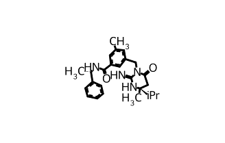 Cc1cc(CN2C(=N)N[C@](C)(C(C)C)CC2=O)cc(C(=O)N[C@@H](C)c2ccccc2)c1